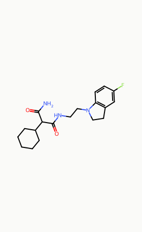 NC(=O)C(C(=O)NCCN1CCc2cc(F)ccc21)C1CCCCC1